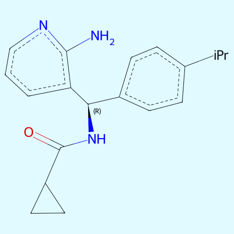 CC(C)c1ccc([C@@H](NC(=O)C2CC2)c2cccnc2N)cc1